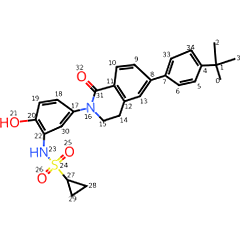 CC(C)(C)c1ccc(-c2ccc3c(c2)CCN(c2ccc(O)c(NS(=O)(=O)C4CC4)c2)C3=O)cc1